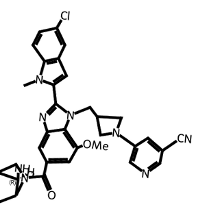 COc1cc(C(=O)N2CC3CCC2[C@@H]3N)cc2nc(-c3cc4cc(Cl)ccc4n3C)n(CC3CN(c4cncc(C#N)c4)C3)c12